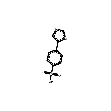 O=S(=O)(O)c1ccc(-c2cnn[nH]2)cc1